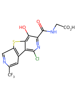 O=C(O)CNC(=O)c1nc(Cl)c2c(sc3cnc(C(F)(F)F)cc32)c1O